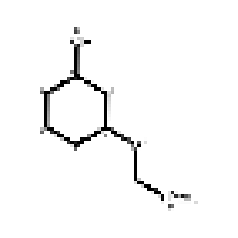 CCCCCCOC1CCCC(O)C1